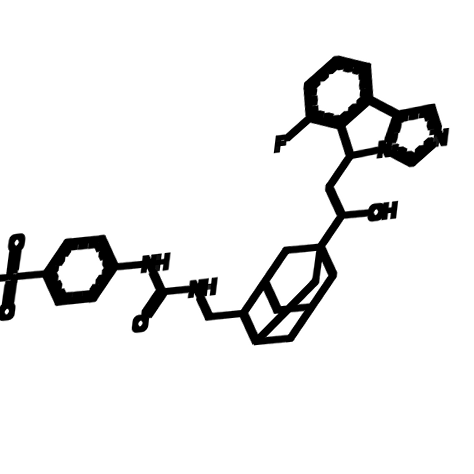 CS(=O)(=O)c1ccc(NC(=O)NCC2C3CC4CC2CC(C(O)CC2c5c(F)cccc5-c5cncn52)(C4)C3)cc1